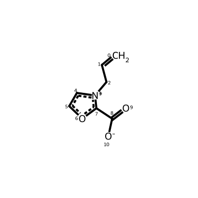 C=CC[n+]1ccoc1C(=O)[O-]